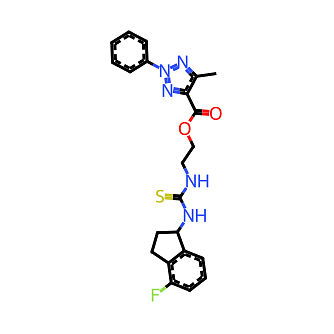 Cc1nn(-c2ccccc2)nc1C(=O)OCCNC(=S)NC1CCc2c(F)cccc21